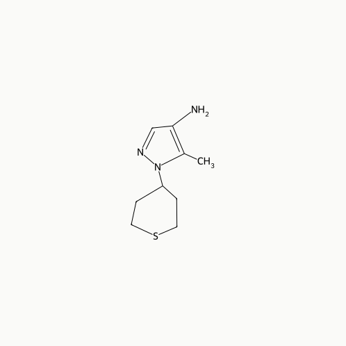 Cc1c(N)cnn1C1CCSCC1